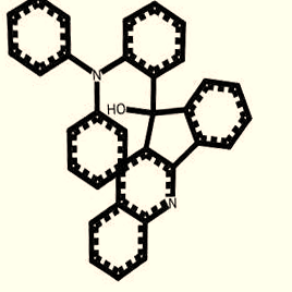 OC1(c2ccccc2N(c2ccccc2)c2ccccc2)c2ccccc2-c2nc3ccccc3cc21